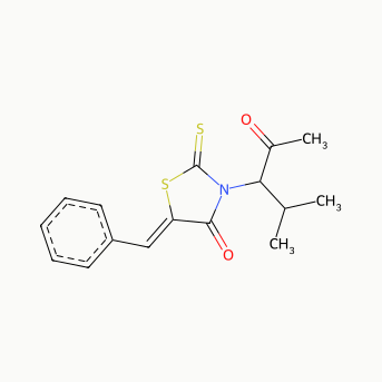 CC(=O)C(C(C)C)N1C(=O)/C(=C/c2ccccc2)SC1=S